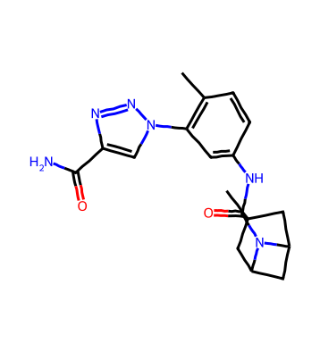 Cc1ccc(NC(=O)N2C3CC(C)CC2C3)cc1-n1cc(C(N)=O)nn1